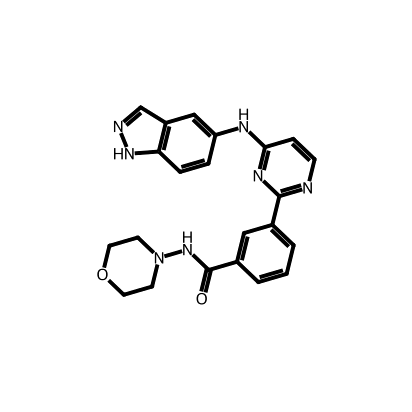 O=C(NN1CCOCC1)c1cccc(-c2nccc(Nc3ccc4[nH]ncc4c3)n2)c1